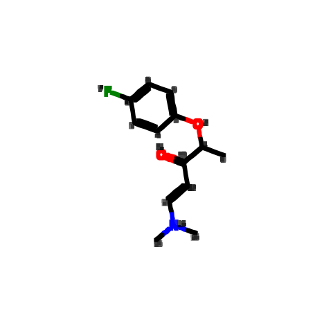 CC(Oc1ccc(F)cc1)C(=O)C=CN(C)C